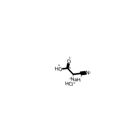 Cl.N#CCC(=O)O.[NaH]